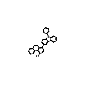 Clc1ccc(-c2ccc3c(c2)c2ccccc2n3-c2ccccc2)c2ccc3ccccc3c12